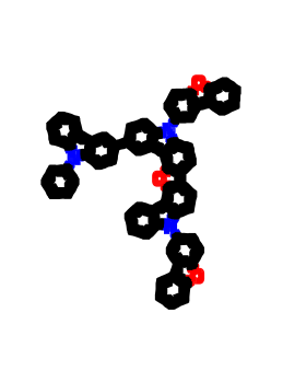 c1ccc(-n2c3ccccc3c3cc(-c4ccc5c(c4)c4c6oc7c(ccc8c7c7ccccc7n8-c7ccc8oc9ccccc9c8c7)c6ccc4n5-c4ccc5oc6ccccc6c5c4)ccc32)cc1